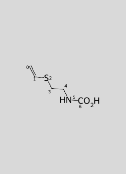 C=CSCCNC(=O)O